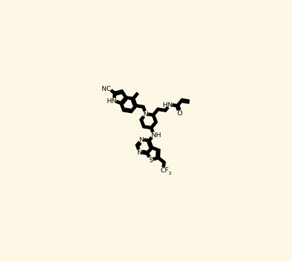 C=CC(=O)NCCC1CC(Nc2ncnc3sc(CC(F)(F)F)cc23)CCN1Cc1ccc2[nH]c(C#N)cc2c1C